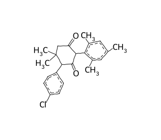 Cc1cc(C)c(C2C(=O)CC(C)(C)C(c3ccc(Cl)cc3)C2=O)c(C)c1